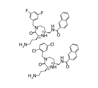 NCCC[C@@H]1N[C@H](CNC(=O)c2ccc3ccccc3c2)CCN(Cc2cc(Cl)ccc2Cl)C1=O.NCCC[C@@H]1N[C@H](CNC(=O)c2ccc3ccccc3c2)CCN(Cc2cc(F)cc(F)c2)C1=O